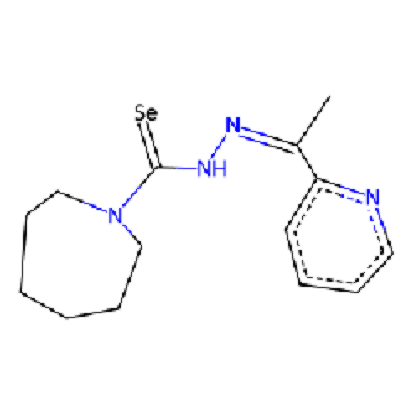 CC(=NNC(=[Se])N1CCCCCC1)c1ccccn1